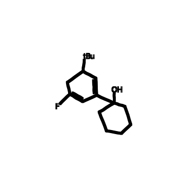 CC(C)(C)C1C=C(C2(O)CCCCC2)C=C(F)C1